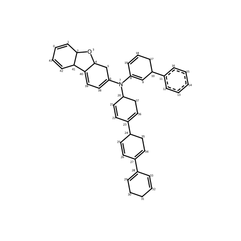 C1=CC2OC3CC(N(C4=CC(c5ccccc5)CC=C4)C4C=CC(C5C=CC(C6=CCCC=C6)=CC5)=CC4)=CC=C3C2C=C1